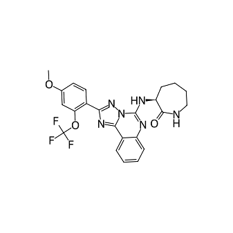 COc1ccc(-c2nc3c4ccccc4nc(N[C@H]4CCCCNC4=O)n3n2)c(OC(F)(F)F)c1